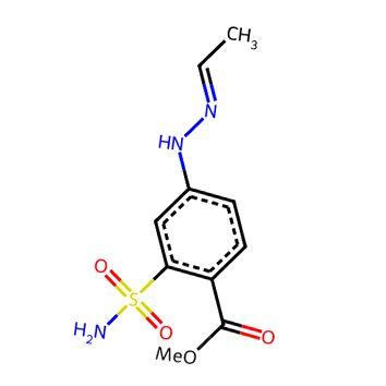 C/C=N/Nc1ccc(C(=O)OC)c(S(N)(=O)=O)c1